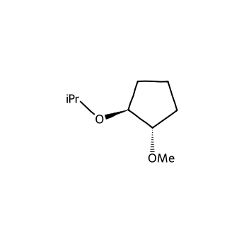 CO[C@H]1CCC[C@@H]1OC(C)C